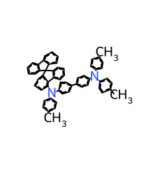 Cc1ccc(N(c2ccc(C)cc2)c2ccc(-c3ccc(N(c4ccc(C)cc4)c4cccc5c4-c4ccccc4C54c5ccccc5-c5ccccc54)cc3)cc2)cc1